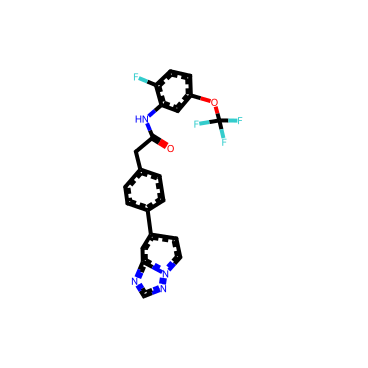 O=C(Cc1ccc(-c2ccn3ncnc3c2)cc1)Nc1cc(OC(F)(F)F)ccc1F